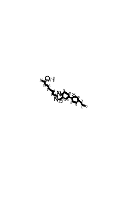 C=CCc1ccc(-c2ccc3nc(C=CCCCC(C)O)ncc3c2)cc1